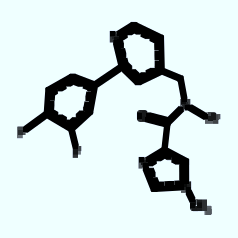 CC(C)N(Cc1ccnc(-c2ccc(F)c(F)c2)c1)C(=O)c1cn(C)cn1